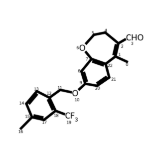 CC1=C(C=O)CCOc2cc(OCc3ccc(C)cc3C(F)(F)F)ccc21